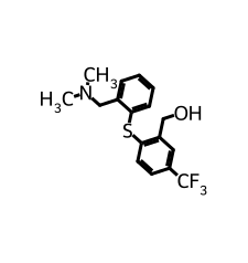 CN(C)Cc1ccccc1Sc1ccc(C(F)(F)F)cc1CO